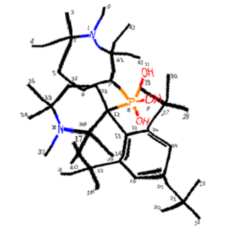 CN1C(C)(C)CCC(P(O)(O)(O)C2(c3c(C(C)(C)C)cc(C(C)(C)C)cc3C(C)(C)C)CCC(C)(C)N(C)C2(C)C)C1(C)C